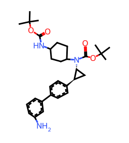 CC(C)(C)OC(=O)NC1CCC(N(C(=O)OC(C)(C)C)[C@@H]2C[C@H]2c2ccc(-c3cccc(N)c3)cc2)CC1